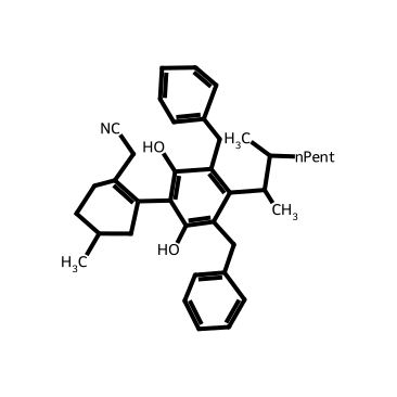 CCCCCC(C)C(C)c1c(Cc2ccccc2)c(O)c(C2=C(CC#N)CCC(C)C2)c(O)c1Cc1ccccc1